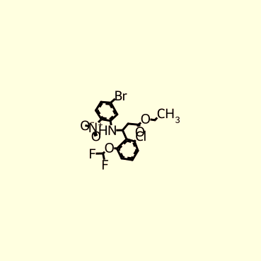 CCOC(=O)CC(Nc1cc(Br)ccc1[N+](=O)[O-])c1c(Cl)cccc1OC(F)F